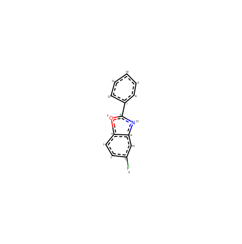 Fc1ccc2oc(-c3ccccc3)nc2c1